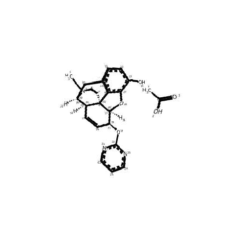 CC(=O)O.CN1CC[C@]23c4c5ccc(O)c4O[C@H]2[C@@H](Oc2ncccn2)C=C[C@H]3[C@H]1C5